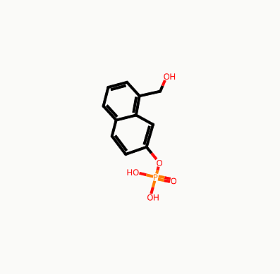 O=P(O)(O)Oc1ccc2cccc(CO)c2c1